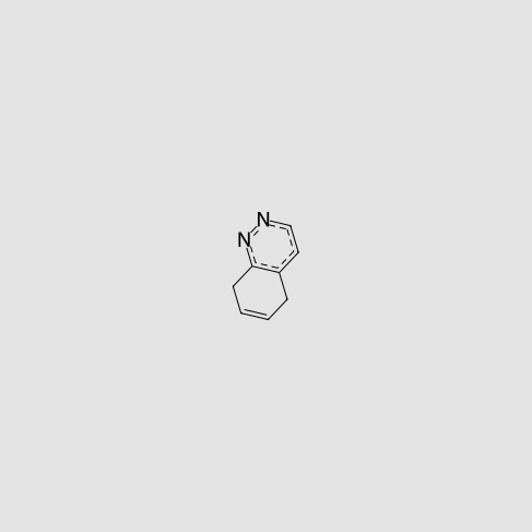 C1=CCc2nnccc2C1